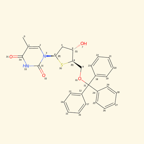 Cc1cn([C@H]2C[C@H](O)[C@@H](COC(c3ccccc3)(c3ccccc3)c3ccccc3)S2)c(=O)[nH]c1=O